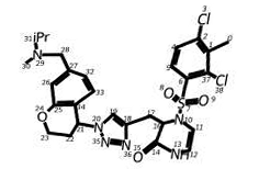 Cc1c(Cl)ccc(S(=O)(=O)N2C=CNC(=O)C2Cc2cn(C3CCOc4cc(CN(C)C(C)C)ccc43)nn2)c1Cl